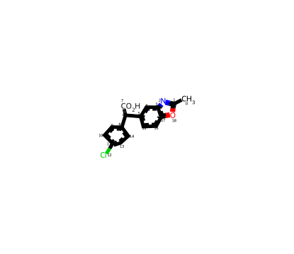 Cc1nc2cc(C(C(=O)O)c3ccc(Cl)cc3)ccc2o1